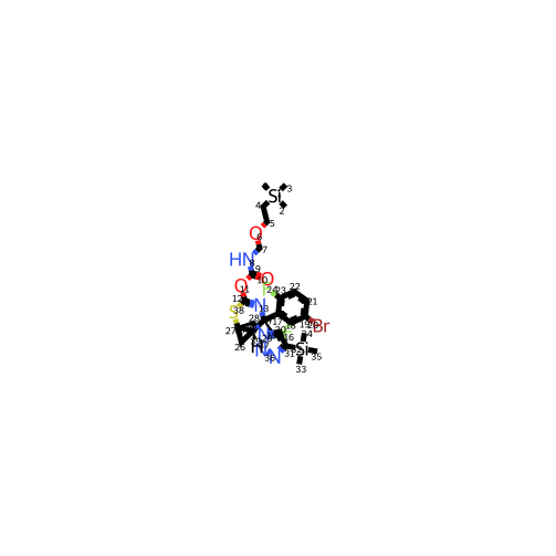 C[Si](C)(C)CCOCNC(=O)OC1=N[C@](CF)(c2cc(Br)ccc2F)[C@@H]2C[C@]2(Cn2cc([Si](C)(C)C)nn2)S1